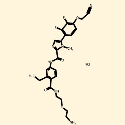 CCc1cc(NC(=O)c2ncc(-c3ccc(OCC#N)c(F)c3F)n2C)ccc1C(=O)NCCOCCN.Cl